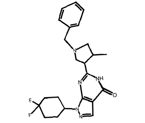 CC1CN(Cc2ccccc2)CC1c1nc2c(cnn2C2CCC(F)(F)CC2)c(=O)[nH]1